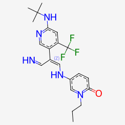 CCCn1cc(N/C=C(\C=N)c2cnc(NC(C)(C)C)cc2C(F)(F)F)ccc1=O